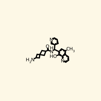 Cc1cc(C(NC(=O)C2CC3(CC(N)C3)C2)c2cccnc2)c(O)c2ncccc12